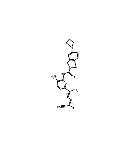 C#C/C(F)=C\C=C(/C)c1ccc(N)c(NC(=O)N2Cc3cnc(N4CCC4)cc3C2)n1